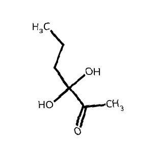 CCCC(O)(O)C(C)=O